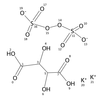 O=C(O)C(O)C(O)C(=O)O.O=S(=O)([O-])OOS(=O)(=O)[O-].[K+].[K+]